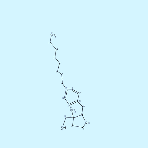 CCCCCCCCc1ccc(CN2SCCC2(N)CO)cc1